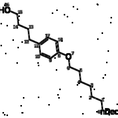 CCCCCCCCCCCCCCCCOc1ccc(CCCCO)cc1